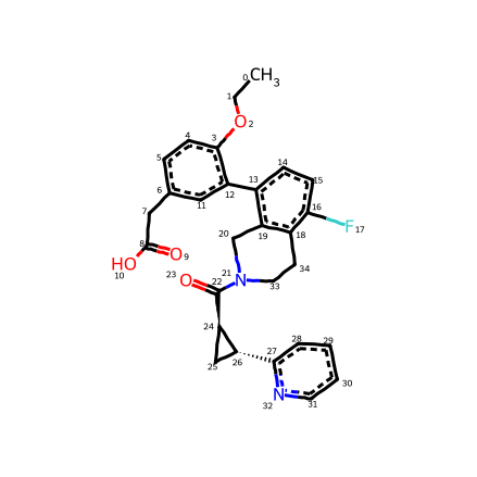 CCOc1ccc(CC(=O)O)cc1-c1ccc(F)c2c1CN(C(=O)[C@@H]1C[C@H]1c1ccccn1)CC2